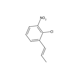 CC=Cc1cccc([N+](=O)[O-])c1Cl